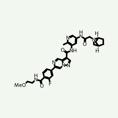 COCCNC(=O)c1ccc(-c2cn3ncc(C(=O)Nc4cc(NC(=O)CN5C[C@@H]6CC[C@H]5C6)cnc4C)c3cn2)cc1F